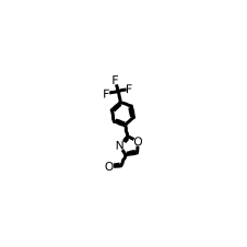 O=Cc1coc(-c2ccc(C(F)(F)F)cc2)n1